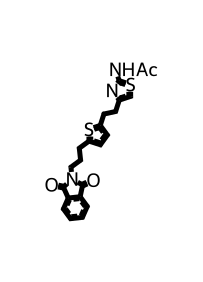 CC(=O)Nc1nc(CCc2ccc(CCCN3C(=O)c4ccccc4C3=O)s2)cs1